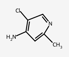 Cc1cc(N)c(Cl)cn1